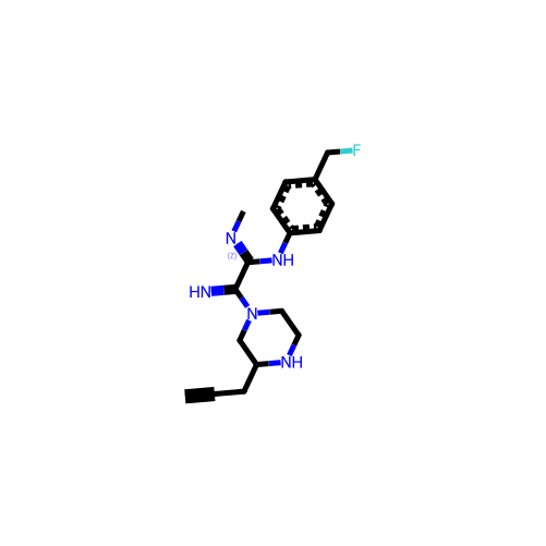 C#CCC1CN(C(=N)/C(=N/C)Nc2ccc(CF)cc2)CCN1